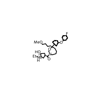 CCN[C@@H]1C[C@H](C(=O)N2CCCC[C@@](CCCCOC)(c3cccc(Oc4ccc(F)cc4)c3)OC2)C[C@@H]1O